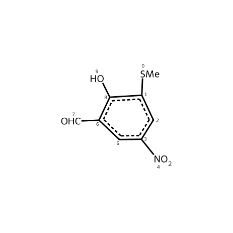 CSc1cc([N+](=O)[O-])cc(C=O)c1O